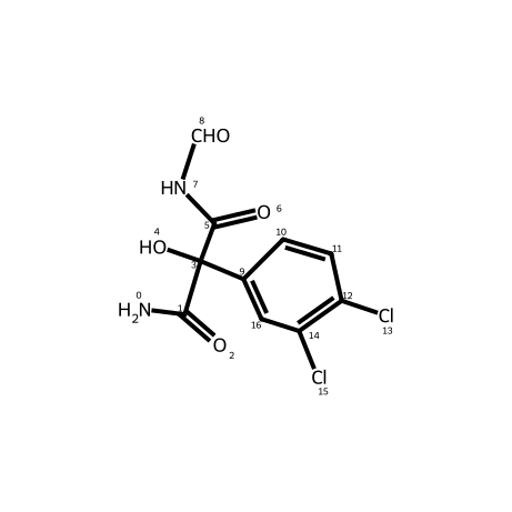 NC(=O)C(O)(C(=O)NC=O)c1ccc(Cl)c(Cl)c1